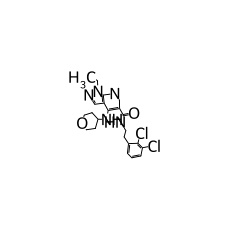 CCn1ncc2c(NC3CCOCC3)c(C(=O)NCCc3cccc(Cl)c3Cl)cnc21